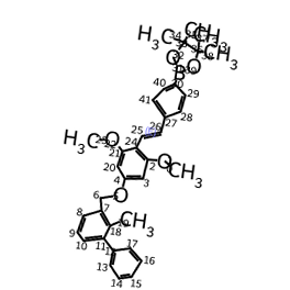 COc1cc(OCc2cccc(-c3ccccc3)c2C)cc(OC)c1/C=C/c1ccc(B2OC(C)(C)C(C)(C)O2)cc1